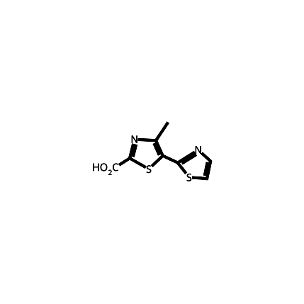 Cc1nc(C(=O)O)sc1-c1nccs1